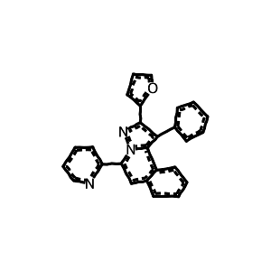 c1ccc(-c2c(-c3ccco3)nn3c(-c4ccccn4)cc4ccccc4c23)cc1